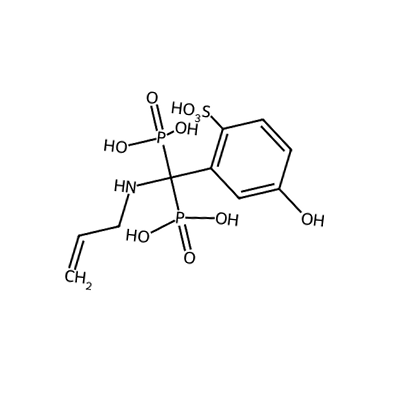 C=CCNC(c1cc(O)ccc1S(=O)(=O)O)(P(=O)(O)O)P(=O)(O)O